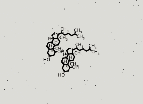 CC(C)CCC[C@@H](C)[C@H]1CC[C@H]2[C@@H]3CC=C4C[C@@H](O)CC(O)[C@]4(C)[C@H]3CC[C@]12C.CC(C)CCC[C@H](C)[C@H]1CC[C@H]2[C@@H]3CC=C4C[C@@H](O)CC(O)[C@]4(C)[C@H]3CC[C@]12C